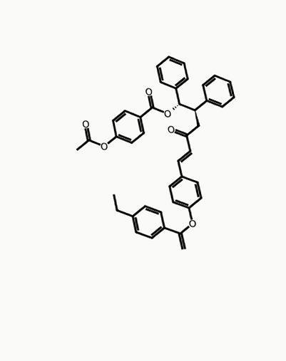 C=C(Oc1ccc(/C=C/C(=O)C[C@H](c2ccccc2)[C@H](OC(=O)c2ccc(OC(C)=O)cc2)c2ccccc2)cc1)c1ccc(CC)cc1